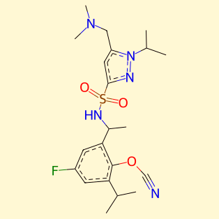 CC(C)c1cc(F)cc(C(C)NS(=O)(=O)c2cc(CN(C)C)n(C(C)C)n2)c1OC#N